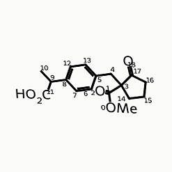 COC(=O)C1(Cc2ccc(C(C)C(=O)O)cc2)CCCC1=O